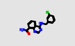 NC(=O)c1cccc2c(NCc3cccc(Cl)c3)ncnc12